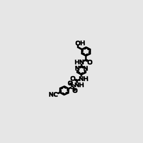 N#Cc1ccc(S(=O)(=O)NC(=O)Nc2cnc(NC(=O)c3cccc(CO)c3)nc2)cc1